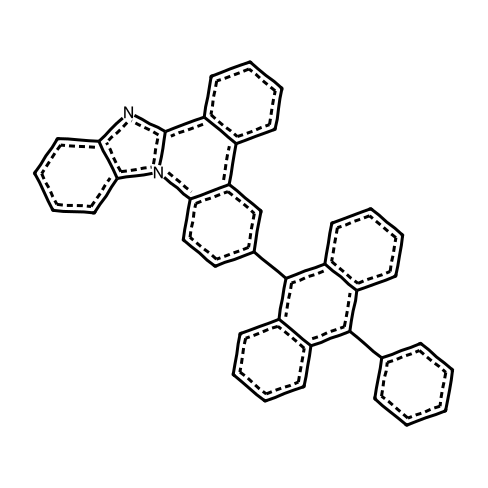 c1ccc(-c2c3ccccc3c(-c3ccc4c(c3)c3ccccc3c3nc5ccccc5n43)c3ccccc23)cc1